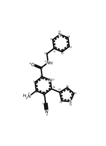 N#Cc1c(N)cc(C(=O)NCc2cccnc2)nc1-c1ccsc1